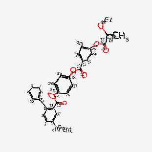 CCCCCc1ccc(-c2ccccc2)c(C(=O)Oc2ccc(OC(=O)c3ccc(OC(=O)C(C)OCC)cc3)cc2)c1